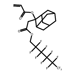 C=CC(=O)OC1(CC(=O)OCC(F)(F)C(F)(F)C(F)(F)C(F)(F)C(F)(F)F)C2CC3CC(C2)CC1C3